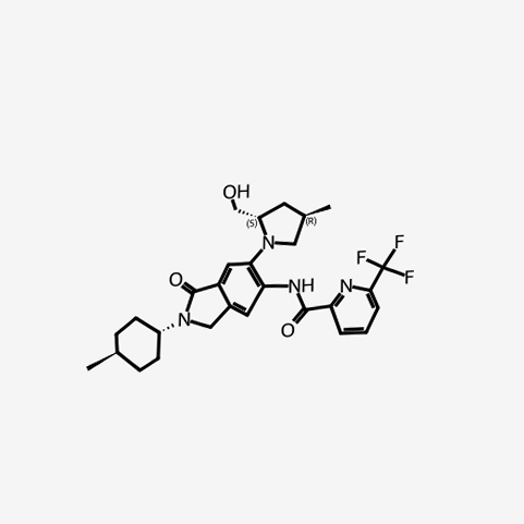 C[C@@H]1C[C@@H](CO)N(c2cc3c(cc2NC(=O)c2cccc(C(F)(F)F)n2)CN([C@H]2CC[C@H](C)CC2)C3=O)C1